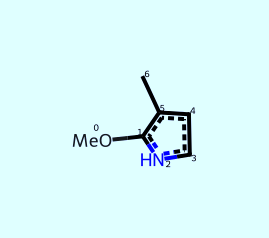 COc1[nH]ccc1C